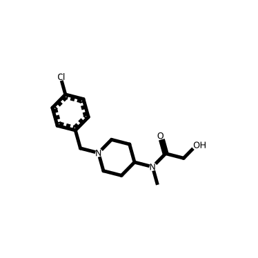 CN(C(=O)CO)C1CCN(Cc2ccc(Cl)cc2)CC1